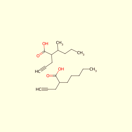 C#CCC(C(=O)O)C(C)CCC.C#CCC(CCCCC)C(=O)O